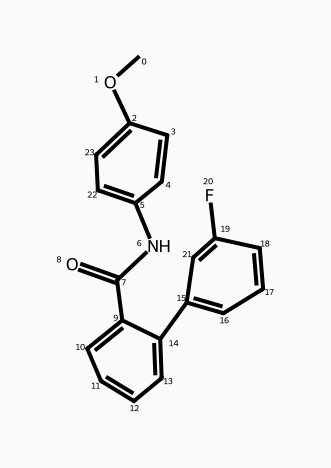 COc1ccc(NC(=O)c2ccccc2-c2cccc(F)c2)cc1